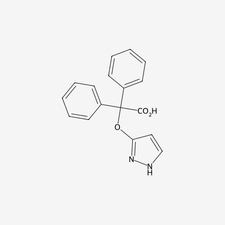 O=C(O)C(Oc1cc[nH]n1)(c1ccccc1)c1ccccc1